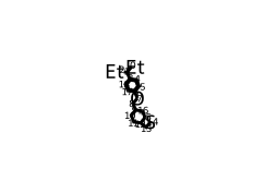 CCC(CC)c1ccc(OCC2CCC3CSC3C2)cc1